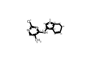 Cc1cnc(Cl)nc1Nc1csc2c1C=CCC2